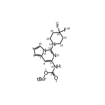 CC(C)(C)OC(=O)Nc1cc2cccn2c(N2CCC(F)(F)CC2)n1